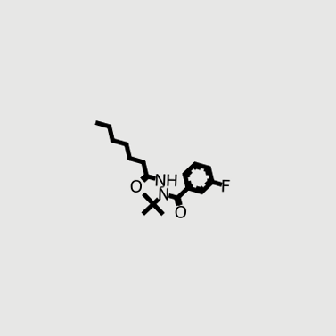 CCCCCCC(=O)NN(C(=O)c1cccc(F)c1)C(C)(C)C